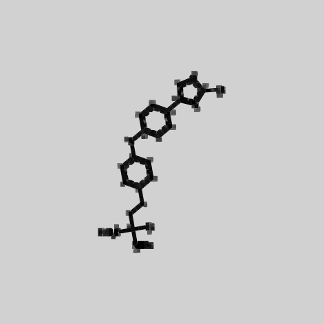 CCOC(=O)C(CC)(CCc1ccc(Sc2ccc(-c3coc(CC)n3)cc2)cc1)NC(C)=O